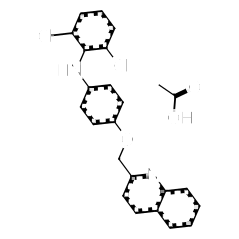 CC(=O)O.Clc1cccc(Cl)c1Nc1ccc(OCc2ccc3ccccc3n2)cc1